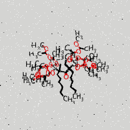 CCCCCCC(CC)(C(=O)C(CC)(CCCCCC)[Si](OC(C)OC(C)OC)(OC(C)OC(C)OC)OC(C)OC(C)OC)[Si](OC(C)OC(C)OC)(OC(C)OC(C)OC)OC(C)OC(C)OC